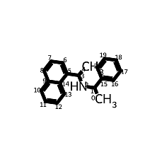 CC(NC(C)c1cccc2ccccc12)c1ccccc1